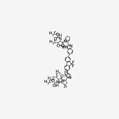 COC(=O)NC(C(=O)N1C2CCC(C2)C1c1nc2ccc(-c3ccc4c(c3)C(F)(F)c3cc(-c5cnc(C6CC7(CC7)CN6C(=O)[C@@H](NC(O)OC)C(C)C)[nH]5)ccc3-4)cc2[nH]1)C(C)C